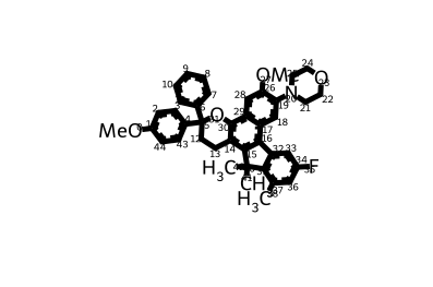 COc1ccc(C2(c3ccccc3)CCc3c4c(c5cc(N6CCOCC6)c(OC)cc5c3O2)-c2cc(F)cc(C)c2C4(C)C)cc1